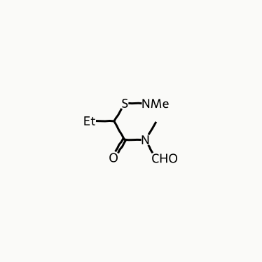 CCC(SNC)C(=O)N(C)C=O